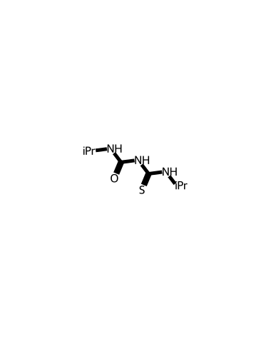 CC(C)NC(=O)NC(=S)NC(C)C